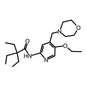 CCOc1cnc(NC(=O)C(CC)(CC)CC)cc1CN1CCOCC1